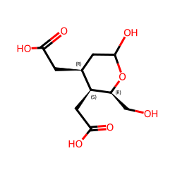 O=C(O)C[C@H]1CC(O)O[C@@H](CO)[C@H]1CC(=O)O